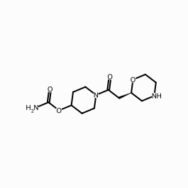 NC(=O)OC1CCN(C(=O)C[C@@H]2CNCCO2)CC1